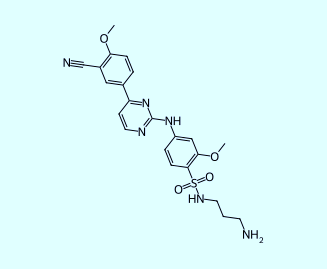 COc1ccc(-c2ccnc(Nc3ccc(S(=O)(=O)NCCCN)c(OC)c3)n2)cc1C#N